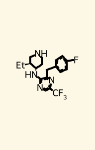 CC[C@H]1CNCC[C@@H]1Nc1ncc(C(F)(F)F)nc1Cc1ccc(F)cc1